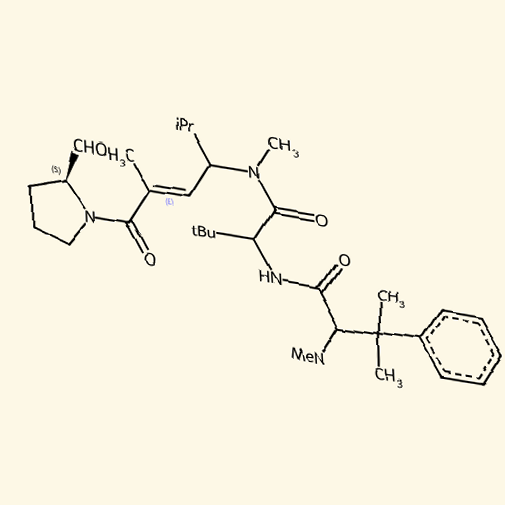 CNC(C(=O)NC(C(=O)N(C)C(/C=C(\C)C(=O)N1CCC[C@H]1C=O)C(C)C)C(C)(C)C)C(C)(C)c1ccccc1